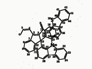 C=C(C1=C(/C=C\C)c2ccccc2C12c1ccccc1-n1c3ccccc3c3cccc2c31)c1cccc2c1sc1ccccc12